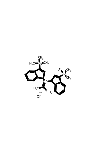 C[C](C)=[Zr+2]([CH]1C=[C]([Ge]([CH3])([CH3])[CH3])c2ccccc21)[CH]1C=[C]([Ge]([CH3])([CH3])[CH3])c2ccccc21.[Cl-].[Cl-]